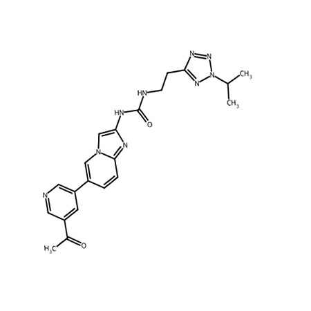 CC(=O)c1cncc(-c2ccc3nc(NC(=O)NCCc4nnn(C(C)C)n4)cn3c2)c1